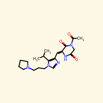 CC(=O)N1CC(=O)NC(=Cc2ncn(CCCN3CCCC3)c2C(C)C)C1=O